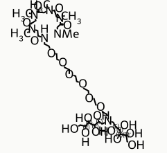 CNCC(=O)N(C)CC(=O)N(C)CC(=O)N(C)CC(=O)N(C)CC(=O)NCCOCCOCCOCCOCCOCCOCCN(C[C@H](O)[C@@H](O)[C@H](O)[C@H](O)CO)C[C@H](O)[C@@H](O)[C@H](O)[C@H](O)CO